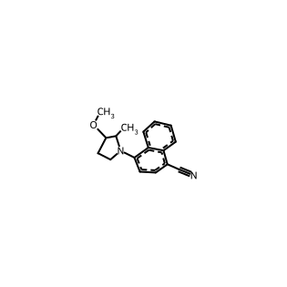 COC1CCN(c2ccc(C#N)c3ccccc23)C1C